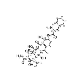 CC1c2ccc(NC(=O)[C@H](Cc3ccccc3)N(C)C)c(O)c2C(=O)C2=C(O)C3(O)C(=O)C(C(N)=O)=C(O)[C@@H](N(C)C)C3C(O)C21